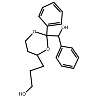 OCCCC1CCOC(c2ccccc2)(C(O)c2ccccc2)O1